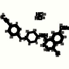 C#Cc1ccc(CN2CCC(Nc3nnc(CC)c4ccc(OC)cc34)CC2)cc1.Cl.Cl